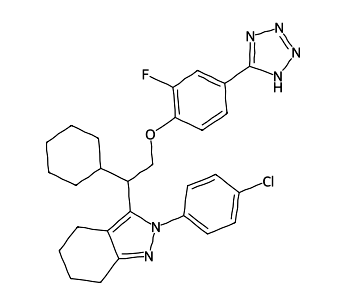 Fc1cc(-c2nnn[nH]2)ccc1OCC(c1c2c(nn1-c1ccc(Cl)cc1)CCCC2)C1CCCCC1